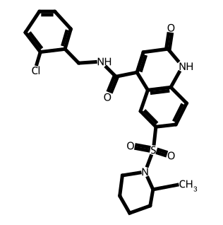 CC1CCCCN1S(=O)(=O)c1ccc2[nH]c(=O)cc(C(=O)NCc3ccccc3Cl)c2c1